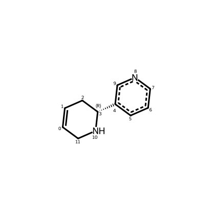 C1=CC[C@H](c2cccnc2)NC1